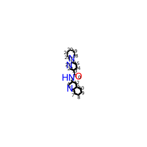 O=C(Nc1cnc2ccccc2c1)c1ccc(N2CCCCC2)nc1